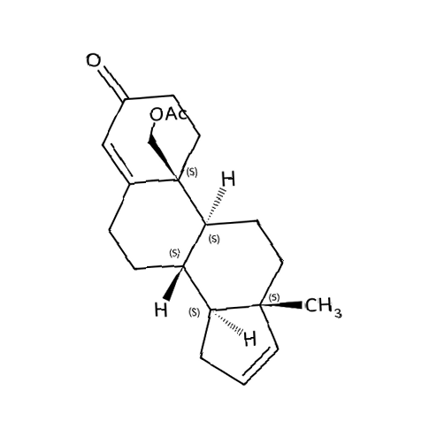 CC(=O)OC[C@]12CCC(=O)C=C1CC[C@@H]1[C@@H]2CC[C@]2(C)C=CC[C@@H]12